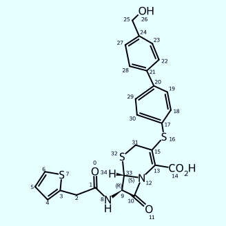 O=C(Cc1cccs1)N[C@@H]1C(=O)N2C(C(=O)O)=C(Sc3ccc(-c4ccc(CO)cc4)cc3)CS[C@@H]12